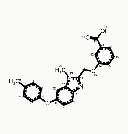 Cc1ccc(Oc2ccc3nc(COc4cccc(C(=O)O)c4)n(C)c3c2)cc1